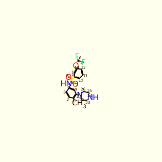 Cc1ccc(NS(=O)(=O)c2cccc(OC(F)F)c2)cc1N1CCNCC1